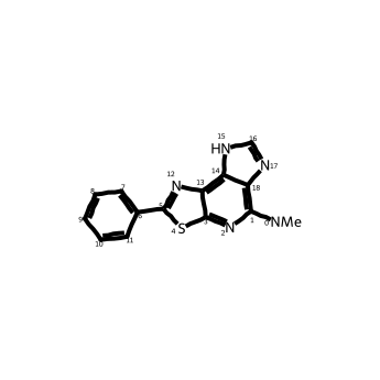 CNc1nc2sc(-c3ccccc3)nc2c2[nH]cnc12